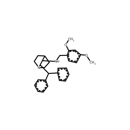 COc1ccc(CNC2C3CCN(CC3)C2C(c2ccccc2)c2ccccc2)c(OC)c1